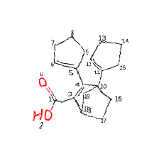 O=C(O)C1=C(C2=CCCC2)C2(C3=CCCC3)CCC1C2